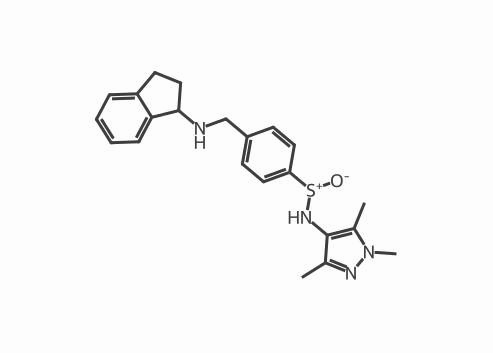 Cc1nn(C)c(C)c1N[S+]([O-])c1ccc(CNC2CCc3ccccc32)cc1